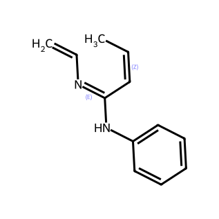 C=C/N=C(\C=C/C)Nc1ccccc1